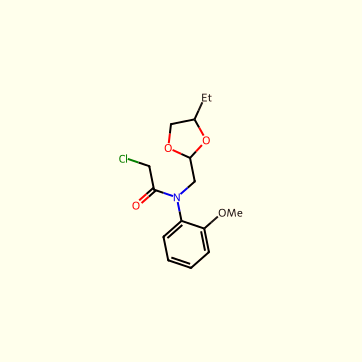 CCC1COC(CN(C(=O)CCl)c2ccccc2OC)O1